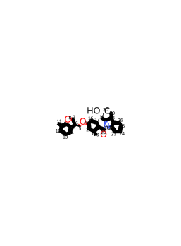 Cc1cc(OC[C@@H]2COc3c(C)cccc32)ccc1C(=O)N1c2ccccc2C(CC(=O)O)C1C